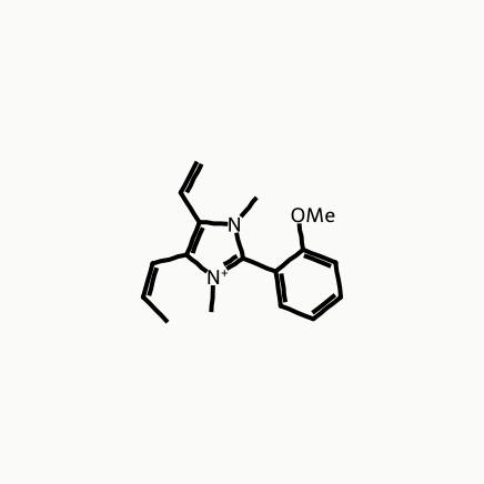 C=Cc1c(/C=C\C)[n+](C)c(-c2ccccc2OC)n1C